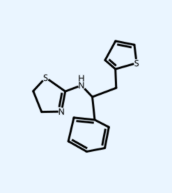 c1ccc(C(Cc2cccs2)NC2=NCCS2)cc1